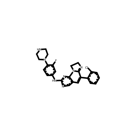 Fc1cc(Nc2ncc3c(n2)N2CCN=C2C(c2ccccc2Cl)=C3)ccc1N1CCNCC1